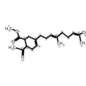 COC(=O)C1CC(CC/C=C(\C)CCC=C(C)C)=CCC1C(C)=O